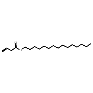 C=CCC(=O)OCCCCCCCCCCCCCCC